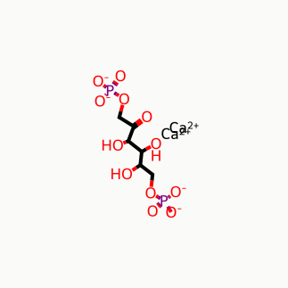 O=C(COP(=O)([O-])[O-])C(O)C(O)C(O)COP(=O)([O-])[O-].[Ca+2].[Ca+2]